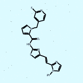 CC(C)n1ccnc1/C=C/c1csc(NC(=O)c2cccn2Cc2ccnc(F)c2)n1